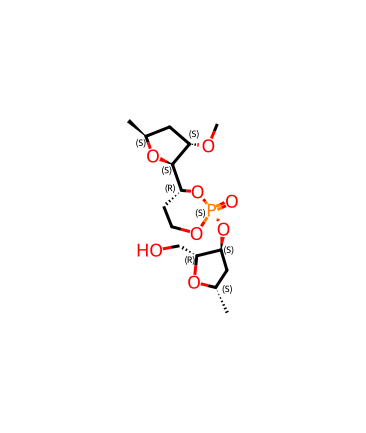 CO[C@H]1C[C@H](C)O[C@@H]1[C@H]1CCO[P@@](=O)(O[C@H]2C[C@H](C)O[C@@H]2CO)O1